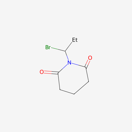 CCC(Br)N1C(=O)CCCC1=O